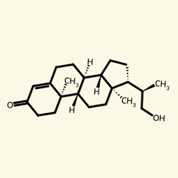 C[C@@H](CO)[C@H]1CC[C@H]2[C@@H]3CCC4=CC(=O)CC[C@]4(C)[C@H]3CC[C@]12C